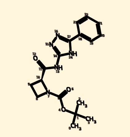 CC(C)(C)OC(=O)N1CC[C@H]1C(=O)Nc1nnc(-c2ccccc2)[nH]1